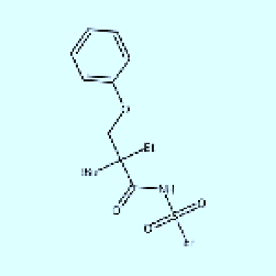 CCC(COc1ccccc1)(C(=O)NS(=O)(=O)CC)C(C)(C)C